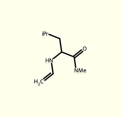 C=CNC(CC(C)C)C(=O)NC